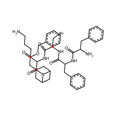 CC(C)CC(NC(=O)C(Cc1ccccc1)NC(=O)C(N)Cc1ccccc1)C(=O)NC(CCCCN)C(=O)N1C2CC1CN(CC(=O)OCc1ccccc1)C2